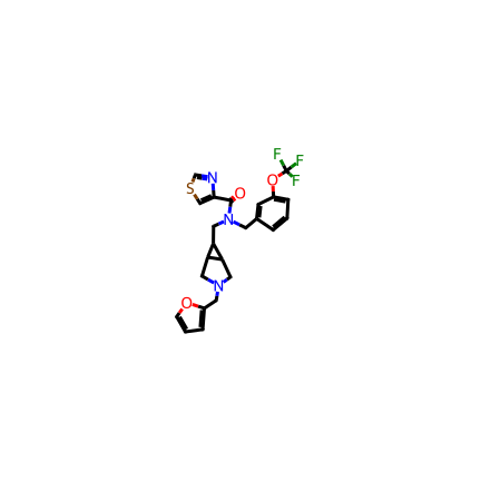 O=C(c1cscn1)N(Cc1cccc(OC(F)(F)F)c1)CC1C2CN(Cc3ccco3)CC21